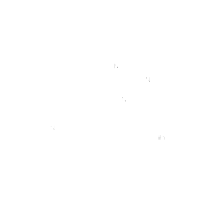 CC(C)CC1CNC(=N)N1CCc1cccnc1